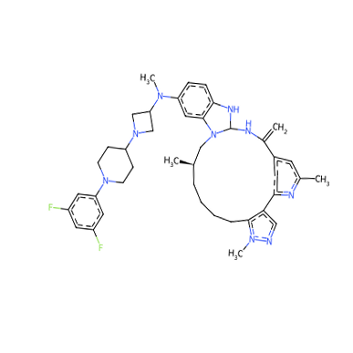 C=C1NC2Nc3ccc(N(C)C4CN(C5CCN(c6cc(F)cc(F)c6)CC5)C4)cc3N2C[C@H](C)CCCCc2c(cnn2C)-c2cc1cc(C)n2